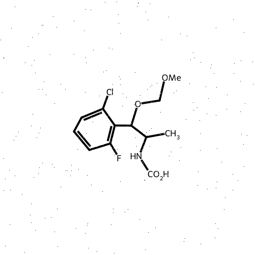 COCOC(c1c(F)cccc1Cl)C(C)NC(=O)O